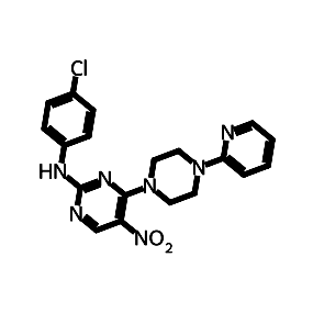 O=[N+]([O-])c1cnc(Nc2ccc(Cl)cc2)nc1N1CCN(c2ccccn2)CC1